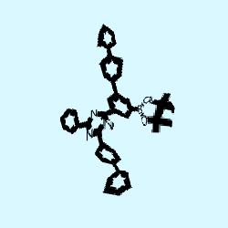 CC1(C)OB(c2cc(-c3ccc(-c4ccccc4)cc3)cc(-c3nc(-c4ccccc4)nc(-c4ccc(-c5ccccc5)cc4)n3)c2)OC1(C)C